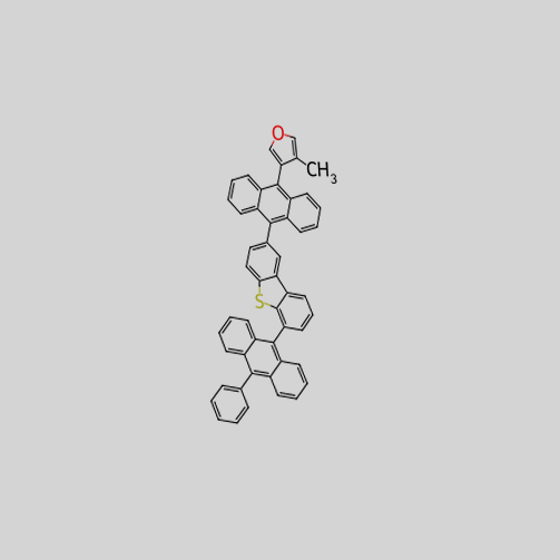 Cc1cocc1-c1c2ccccc2c(-c2ccc3sc4c(-c5c6ccccc6c(-c6ccccc6)c6ccccc56)cccc4c3c2)c2ccccc12